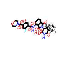 BC1(B)C(=O)NC(=O)C(N2C(=O)c3cccc(NC(O)(O)c4ccc(C(O)(O)N5CCOCC5)cc4F)c3C2(O)O)C1(B)B